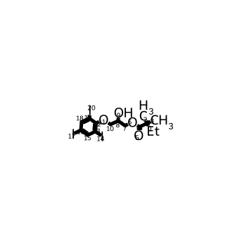 CCC(C)(C)C(=O)OCC(O)COc1c(I)cc(I)cc1I